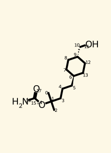 CC(C)(CCC[C@H]1CC[C@H](CO)CC1)OC(N)=O